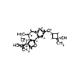 C[C@H]1Cn2nc(OC3CC(C)(C#N)C3)cc2-c2onc([C@@](C)(O)C(F)(F)F)c21